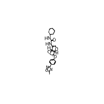 Cc1nc(-c2ccc(O[C@H]3CO[C@H]4[C@@H]3OC[C@@H]4NC(=O)NC3CCCCC3)cc2)no1